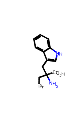 CC(C)CC(N)(Cc1c[nH]c2ccccc12)C(=O)O